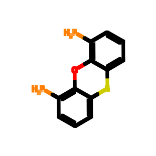 Pc1cccc2c1Oc1c(P)cccc1S2